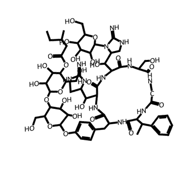 CCC(C)CC(=O)OC1C(CO)OC(OC2C(CO)OC(Oc3ccc(CC4NC(=O)C(C(C)c5ccccc5)NC(=O)CNC(=O)C(CO)NC(=O)C(C(O)C5CNC(=N)N5C5OC(CO)C(O)C(O)C5O)NC(=O)C(C(O)C5CNC(=N)N5)NC4=O)cc3)C(O)C2O)C(O)C1O